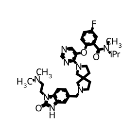 CC(C)N(C)C(=O)c1cc(F)ccc1Oc1cncnc1N1CCC2(CCN(Cc3ccc4c(c3)[nH]c(=O)n4CCN(C)C)C2)C1